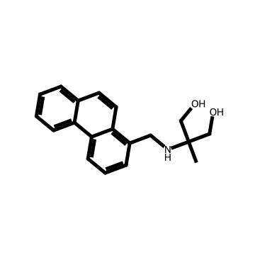 CC(CO)(CO)NCc1cccc2c1ccc1ccccc12